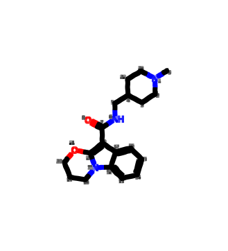 CN1CCC(CNC(=O)c2c3n(c4ccccc24)CCCO3)CC1